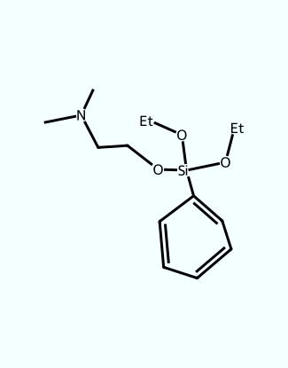 CCO[Si](OCC)(OCCN(C)C)c1ccccc1